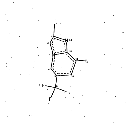 Cc1cn2cc(C(F)(F)F)cc(C)c2n1